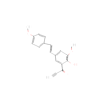 C#CC(=O)c1cc(/C=C/c2ccc(OC)cc2)cc(OC)c1O